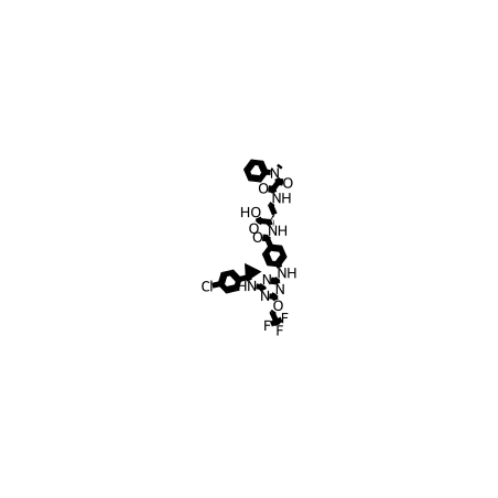 CN(C(=O)C(=O)NCC[C@H](NC(=O)c1ccc(Nc2nc(NC3(c4ccc(Cl)cc4)CC3)nc(OCC(F)(F)F)n2)cc1)C(=O)O)c1ccccc1